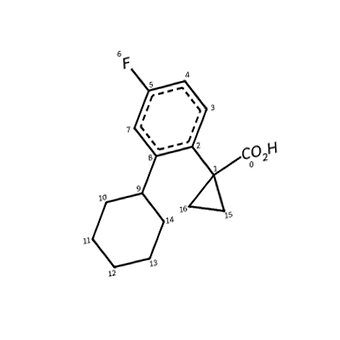 O=C(O)C1(c2ccc(F)cc2C2CCCCC2)CC1